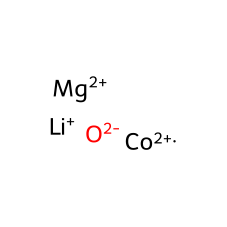 [Co+2].[Li+].[Mg+2].[O-2]